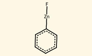 [F][Zn][c]1ccccc1